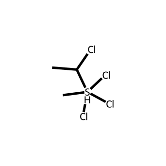 CC(Cl)[SH](C)(Cl)(Cl)Cl